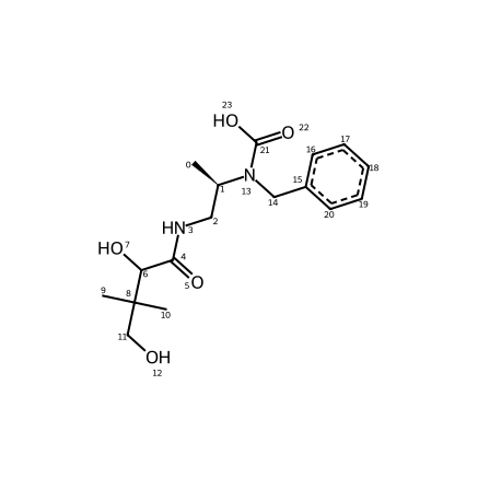 C[C@H](CNC(=O)C(O)C(C)(C)CO)N(Cc1ccccc1)C(=O)O